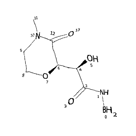 BNC(=O)[C@H](O)[C@H]1OCCN(C)C1=O